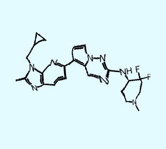 Cc1nc2ccc(-c3ccn4nc(N[C@@H]5CCN(C)CC5(F)F)ncc34)nc2n1CC1CC1